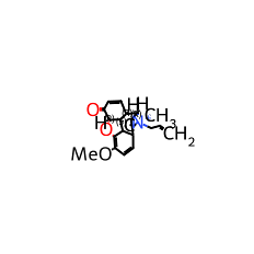 C=CC[N+]1(C)CC[C@@]23C4C5=C(OC)C=CC4C[C@@H]1[C@@H]2C=CC(=O)[C@@H]3O5